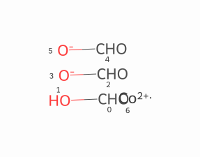 O=CO.O=C[O-].O=C[O-].[Co+2]